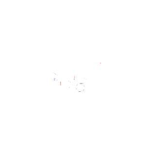 O=C1CC[C@H](N2C(=O)c3cccc(N4CC(CCO)C4)c3C2=O)C(=O)N1